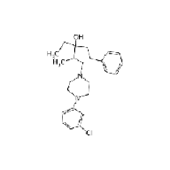 CCC(O)(CCc1ccccc1)C(C)CN1CCN(c2cccc(Cl)c2)CC1